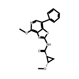 COc1ncc(-c2ccccc2)c2sc(NC(=O)[C@H]3C[C@@H]3OC)nc12